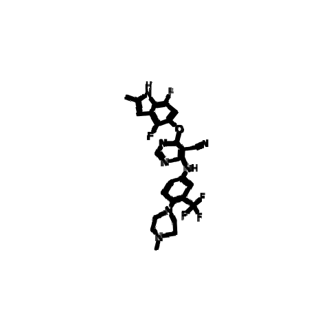 Cc1cc2c(F)c(Oc3ncnc(Nc4ccc(N5CCN(C)CC5)c(C(F)(F)F)c4)c3C#N)cc(F)c2[nH]1